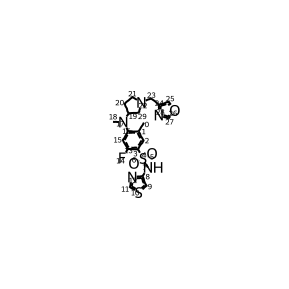 Cc1cc(S(=O)(=O)Nc2cscn2)c(F)cc1N(C)C1CCN(Cc2cocn2)C1